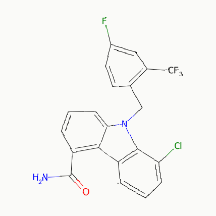 NC(=O)c1cccc2c1c1[c]ccc(Cl)c1n2Cc1ccc(F)cc1C(F)(F)F